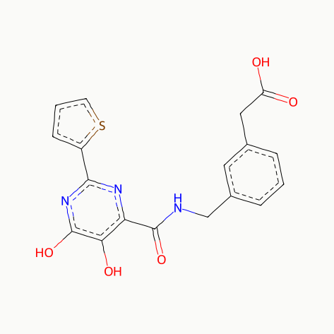 O=C(O)Cc1cccc(CNC(=O)c2nc(-c3cccs3)nc(O)c2O)c1